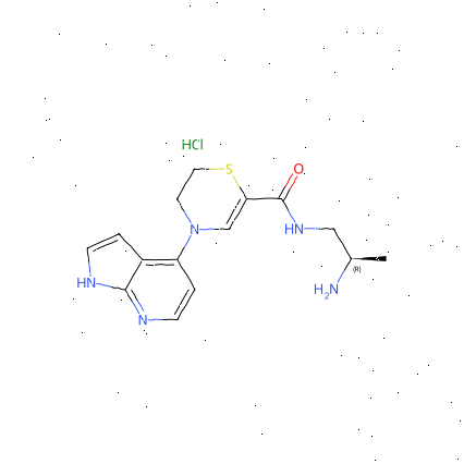 C[C@@H](N)CNC(=O)C1=CN(c2ccnc3[nH]ccc23)CCS1.Cl